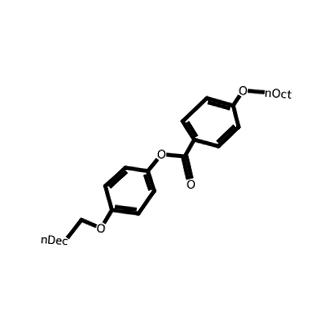 CCCCCCCCCCCOc1ccc(OC(=O)c2ccc(OCCCCCCCC)cc2)cc1